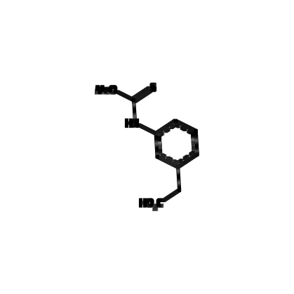 COC(=S)Nc1cccc(CC(=O)O)c1